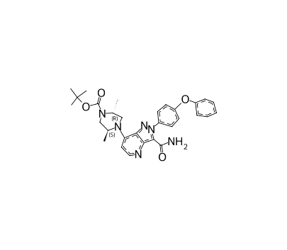 C[C@@H]1CN(c2ccnc3c(C(N)=O)n(-c4ccc(Oc5ccccc5)cc4)nc23)[C@@H](C)CN1C(=O)OC(C)(C)C